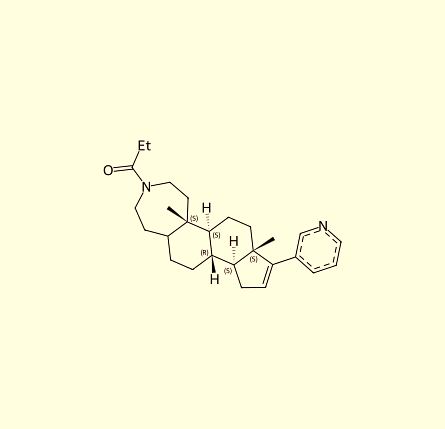 CCC(=O)N1CCC2CC[C@@H]3[C@H](CC[C@]4(C)C(c5cccnc5)=CC[C@@H]34)[C@@]2(C)CC1